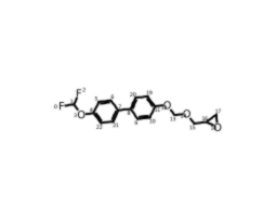 FC(F)Oc1ccc(-c2ccc(OCOCC3CO3)cc2)cc1